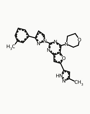 Cc1cccc(-c2ccn(-c3nc(N4CCOCC4)c4oc(-c5cc(C)n[nH]5)cc4n3)n2)c1